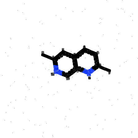 Cc1cc2ccc(C)nc2cn1